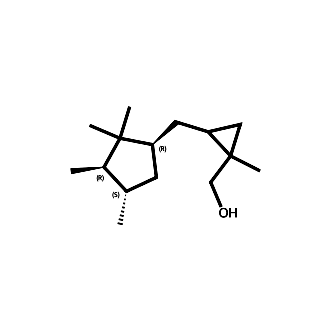 C[C@@H]1[C@@H](C)C[C@H](CC2CC2(C)CO)C1(C)C